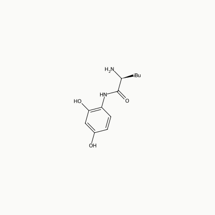 CCC(C)[C@H](N)C(=O)Nc1ccc(O)cc1O